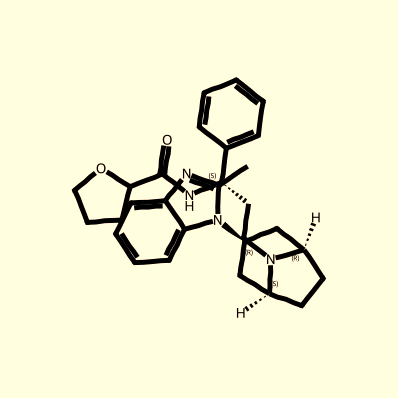 Cc1nc2ccccc2n1[C@H]1C[C@H]2CC[C@@H](C1)N2CC[C@H](NC(=O)C1CCCO1)c1ccccc1